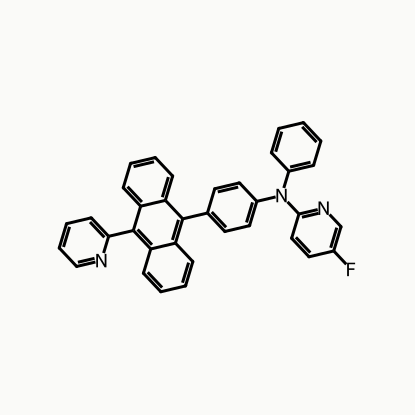 Fc1ccc(N(c2ccccc2)c2ccc(-c3c4ccccc4c(-c4ccccn4)c4ccccc34)cc2)nc1